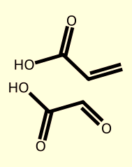 C=CC(=O)O.O=CC(=O)O